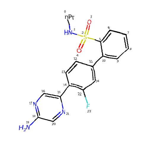 CCCNS(=O)(=O)c1ccccc1-c1ccc(-c2cnc(N)cn2)c(F)c1